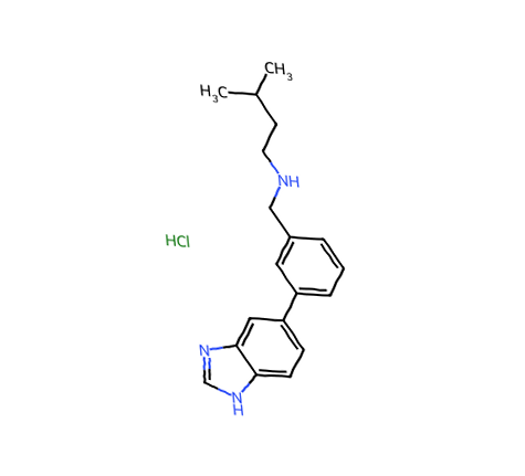 CC(C)CCNCc1cccc(-c2ccc3[nH]cnc3c2)c1.Cl